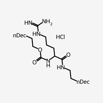 CCCCCCCCCCCCNC(=O)C(CCCNC(=N)N)NC(=O)OCCCCCCCCCCCC.Cl